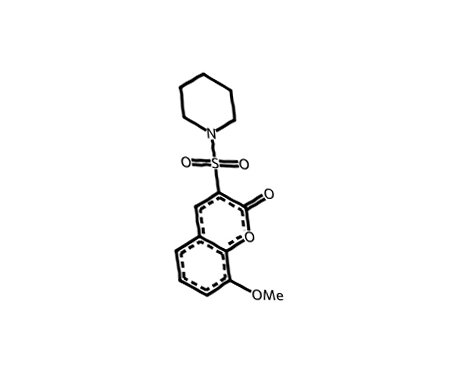 COc1cccc2cc(S(=O)(=O)N3CCCCC3)c(=O)oc12